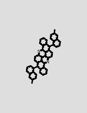 Cc1ccc2c(-c3c4ccccc4c4nc5ccc6c(-c7cccc8cc(C)ccc78)c7ccccc7c7nc8ccc3c4c8c5c67)cccc2c1